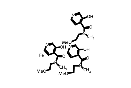 COCCN(C)C(=O)c1ccncc1O.COCCN(C)C(=O)c1ccncc1O.COCCN(C)C(=O)c1ccncc1O.[Fe]